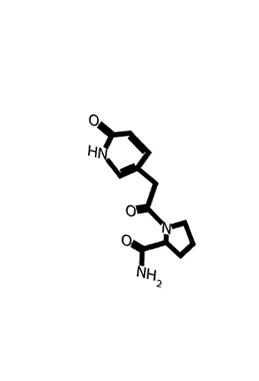 NC(=O)C1CCCN1C(=O)Cc1ccc(=O)[nH]c1